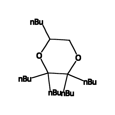 CCCCC1COC(CCCC)(CCCC)C(CCCC)(CCCC)O1